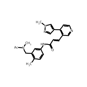 CC(=O)N(C)Cc1cc(NC(=O)C=Cc2cnccc2-c2cnn(C)c2)ccc1C